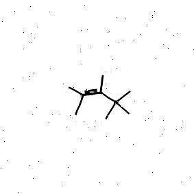 NC(N)=C(N)C(F)(F)F